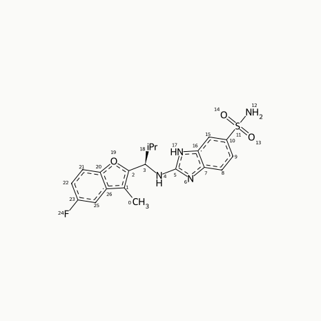 Cc1c([C@H](Nc2nc3ccc(S(N)(=O)=O)cc3[nH]2)C(C)C)oc2ccc(F)cc12